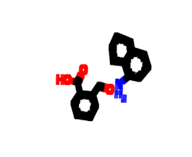 Nc1cccc2ccccc12.O=Cc1ccccc1C(=O)O